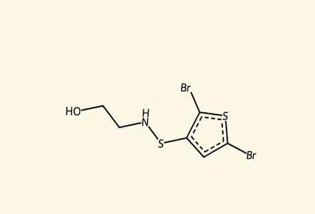 OCCNSc1cc(Br)sc1Br